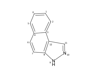 c1ccc2c(c1)ccc1[nH]ncc12